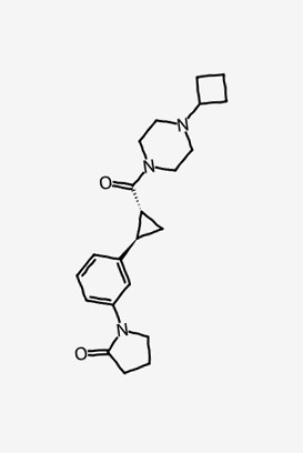 O=C([C@@H]1C[C@H]1c1cccc(N2CCCC2=O)c1)N1CCN(C2CCC2)CC1